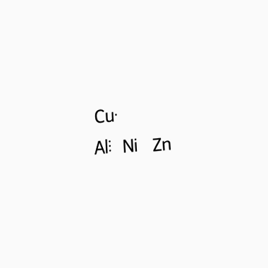 [Al].[Cu].[Ni].[Zn]